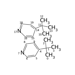 CC(C)(C)c1ccncc1.CC(C)(C)c1ccncc1